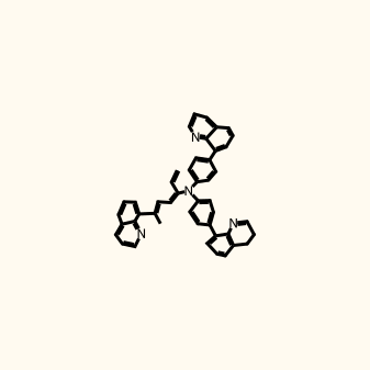 C=C/C(=C\C=C(/C)c1cccc2cccnc12)N(c1ccc(-c2cccc3c2N=CCC3)cc1)c1ccc(-c2cccc3cccnc23)cc1